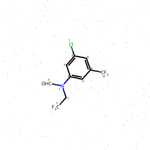 O=CN(CC(F)(F)F)c1cc(Cl)cc(C(F)(F)F)c1